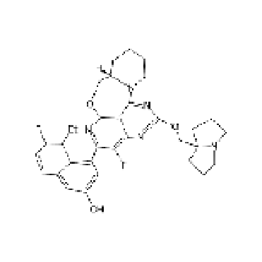 CCc1c(F)ccc2cc(O)cc(-c3nc4c5c(nc(OCC67CCCN6CCC7)nc5c3F)N3CCCC[C@H]3CO4)c12